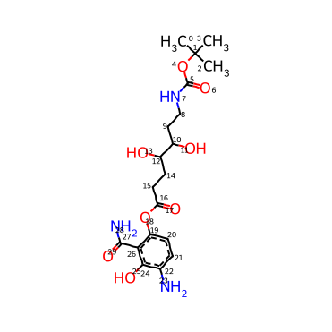 CC(C)(C)OC(=O)NCCC(O)C(O)CCC(=O)Oc1ccc(N)c(O)c1C(N)=O